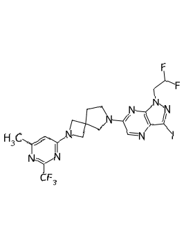 Cc1cc(N2CC3(CCN(c4cnc5c(I)nn(CC(F)F)c5n4)C3)C2)nc(C(F)(F)F)n1